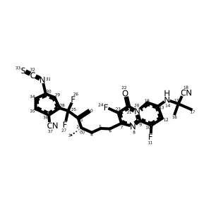 C=C([C@@H](C)CCCc1nc2c(F)cc(NC(C)(C)C#N)cn2c(=O)c1F)C(F)(F)c1cc(N=C=S)ccc1C#N